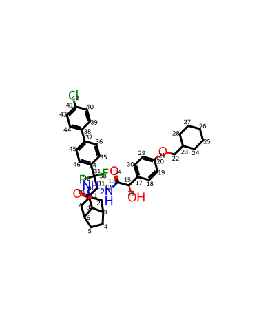 NC1CC2CCC(C1)C2C(=O)[C@@H](NC(=O)[C@H](O)c1ccc(OCC2CCCCC2)cc1)C(F)(F)c1ccc(-c2ccc(Cl)cc2)cc1